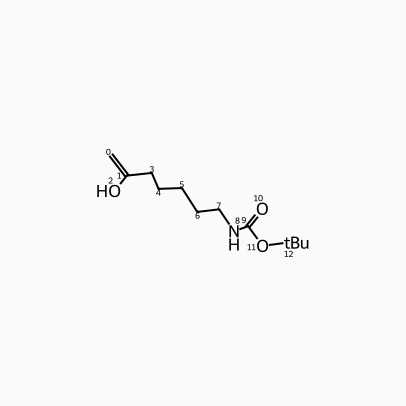 C=C(O)CCCCCNC(=O)OC(C)(C)C